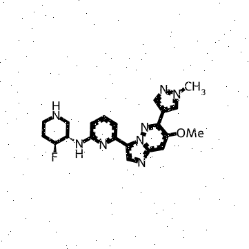 COc1cc2ncc(-c3cccc(N[C@H]4CNCC[C@@H]4F)n3)n2nc1-c1cnn(C)c1